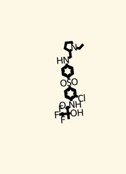 CCN1CCCC1CNc1ccc(S(=O)(=O)c2ccc(NC(=O)C(C)(O)C(F)(F)F)c(Cl)c2)cc1